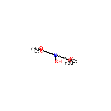 CCCCC(CC)C(=O)OCCCCCCCCCN(CCCO)CCCCCCCCCOC(=O)[C@H](CC)CCCC